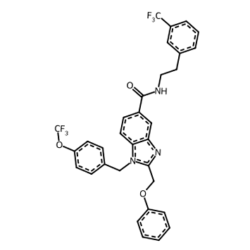 O=C(NCCc1cccc(C(F)(F)F)c1)c1ccc2c(c1)nc(COc1ccccc1)n2Cc1ccc(OC(F)(F)F)cc1